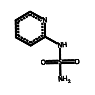 NS(=O)(=O)Nc1ccccn1